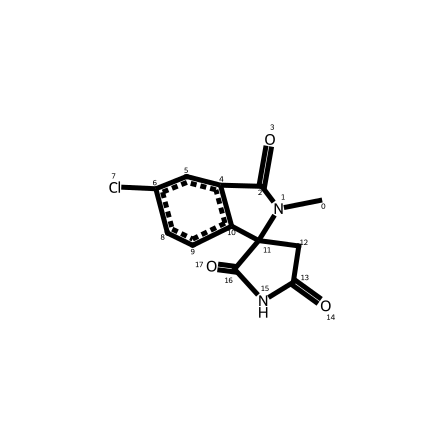 CN1C(=O)c2cc(Cl)ccc2C12CC(=O)NC2=O